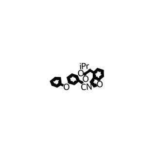 CC(C)C(C(=O)OC(C#N)c1cccc(Oc2ccccc2)c1)c1cccc2occc12